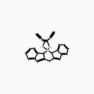 C#CC(=O)[O][Ti]1([O]C(=O)C#C)[CH]2C(=Cc3ccccc32)CC2=Cc3ccccc3[CH]21